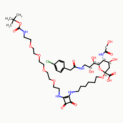 CC(C)(C)OC(=O)NCCOCCOCCOCCOCCNc1c(NCCCCCCO[C@]2(C(=O)O)C[C@H](O)[C@@H](NC(=O)CO)[C@H]([C@H](O)[C@H](O)CNC(=O)Cc3ccc(Cl)cc3)O2)c(=O)c1=O